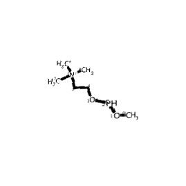 COPOCC[N+](C)(C)C